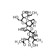 C=C(CO)[C@@H](O)[C@H](OC(CCO)(O[C@@H]1C(O)[C@H](O[C@@H](CO)C(CO)O[C@@H](O)CC)OC2CO[C@@H]21)C(=O)O)C(C)NC(C)=O